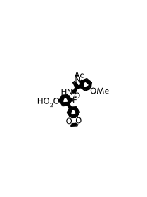 COc1ccc2c(c1)c(C(=O)Nc1cc(C(=O)O)cc(-c3ccc4c(c3)OCCO4)c1F)cn2C(C)=O